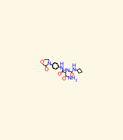 NC(=O)[C@@H](NC(=O)NC1CCC1)C(=O)Nc1ccc(N2CCOCC2=O)cc1